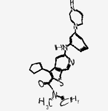 CCN(C)C(=O)c1sc2cnc(Nc3cccc(N4CCNCC4)c3)cc2c1C1CCCC1